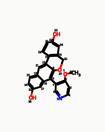 COc1ccncc1-c1c2c(cc3ccc(O)cc13)-c1ccc(O)cc1CO2